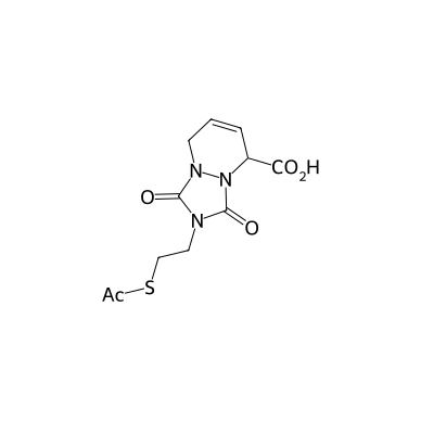 CC(=O)SCCn1c(=O)n2n(c1=O)C(C(=O)O)C=CC2